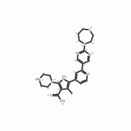 Cc1c(-c2ccnc(-c3cnc(N4CCCOCC4)nc3)c2)[nH]c(N2CCNCC2)c1C(=O)O